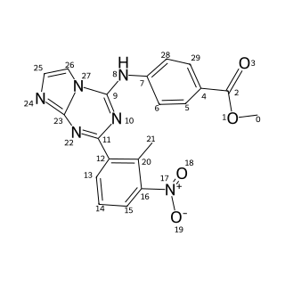 COC(=O)c1ccc(Nc2nc(-c3cccc([N+](=O)[O-])c3C)nc3nccn23)cc1